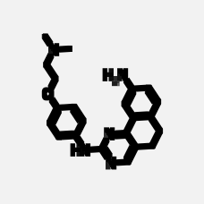 CN(C)CCOc1ccc(Nc2ncc3c(n2)-c2cc(N)ccc2CC3)cc1